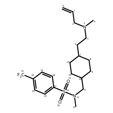 C=CCN(C)CCC1CCC(CN(C)S(=O)(=O)c2ccc(C(F)(F)F)cc2)CC1